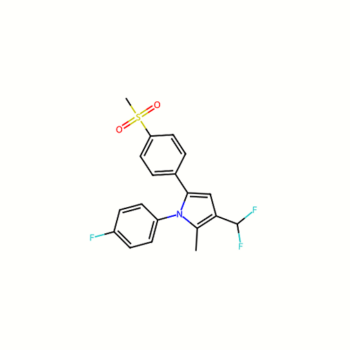 Cc1c(C(F)F)cc(-c2ccc(S(C)(=O)=O)cc2)n1-c1ccc(F)cc1